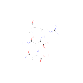 N=C(N)NCCC[C@H](N)C(=O)O.NC(=O)CC(N)C(=O)O.NC(=O)C[C@H](N)C(=O)O